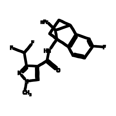 CCCC1C2CCC1(NC(=O)c1cn(C)nc1C(F)F)c1ccc(F)cc12